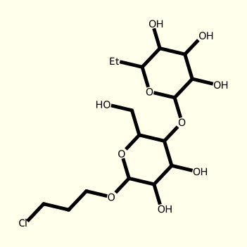 CCC1OC(OC2C(CO)OC(OCCCCl)C(O)C2O)C(O)C(O)C1O